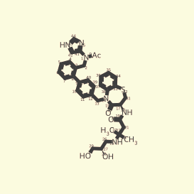 CC(=O)N(Cc1ccccc1-c1ccc(CN2C(=O)[C@H](NC(=O)CC(C)(C)NC[C@H](O)CO)CSc3ccccc32)cc1)c1c[nH]cn1